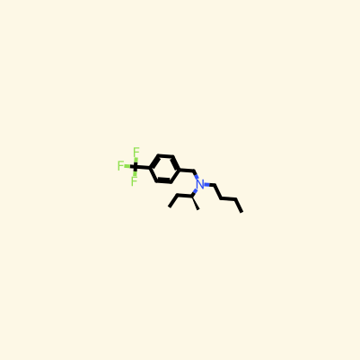 CCCCN(Cc1ccc(C(F)(F)F)cc1)[C@@H](C)CC